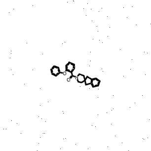 O=C(c1ccccc1Oc1ccccc1)N1CCC2(CC1)Cc1ccccc1C2